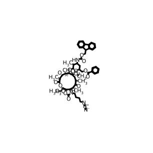 CC[C@H]1OC(=O)[C@H](C)C(=O)[C@H](C)[C@@H](OC2OC(COC(=O)c3ccccc3)CC(NC(=O)OCC3c4ccccc4-c4ccccc43)C2C)[C@@](C)(OC)C[C@@H](C)C(=O)[C@H](C)[C@H]2N(CCCCN=[N+]=[N-])C(=O)O[C@]12C